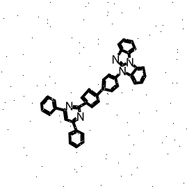 c1ccc(-c2cc(-c3ccccc3)nc(-c3ccc(-c4ccc(-n5c6ccccc6n6c7ccccc7nc56)cc4)cc3)n2)cc1